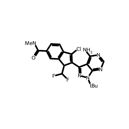 CNC(=O)c1ccc2c(c1)C(C(F)F)C(c1nn(C(C)(C)C)c3ncnc(N)c13)=C2Cl